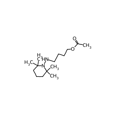 CC(=O)OCCCCNN1C(C)(C)CCCC1(C)C